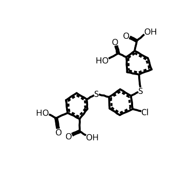 O=C(O)c1ccc(Sc2ccc(Cl)c(Sc3ccc(C(=O)O)c(C(=O)O)c3)c2)cc1C(=O)O